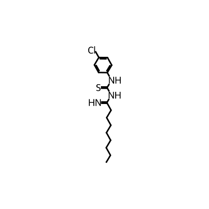 CCCCCCCCC(=N)NC(=S)Nc1ccc(Cl)cc1